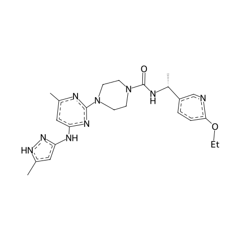 CCOc1ccc([C@@H](C)NC(=O)N2CCN(c3nc(C)cc(Nc4cc(C)[nH]n4)n3)CC2)cn1